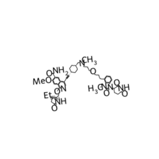 CC[C@@H]1CC(=O)N[C@@H]1COc1ncc(C#C[C@H]2CC[C@H](CN(C)CCCOCCCc3cccc4c3n(C)c(=O)n4C3CCC(=O)NC3=O)CC2)c2cc(C(N)=O)c(OC)cc12